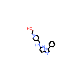 OCCN1CCC(CNc2ccc3ncc(-c4ccccc4)n3n2)CC1